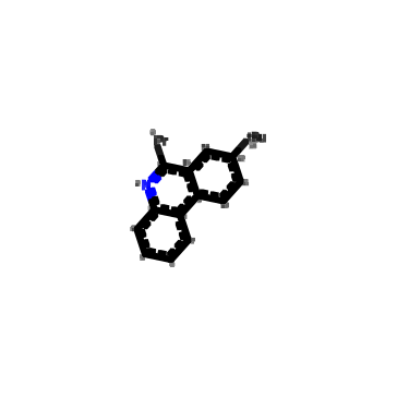 CC(C)c1nc2ccccc2c2ccc(C(C)(C)C)cc12